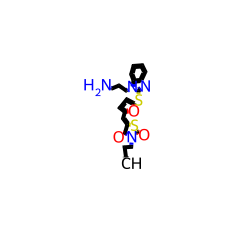 C#CCCN1C(=O)S/C(=C\c2ccc(Sc3nc4ccccc4n3CCCN)o2)C1=O